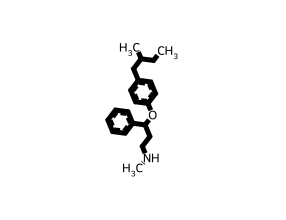 CCC(C)Cc1ccc(OC(CCNC)c2ccccc2)cc1